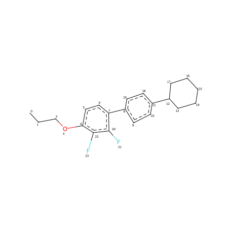 CCCOc1ccc(-c2ccc(C3CC[CH]CC3)cc2)c(F)c1F